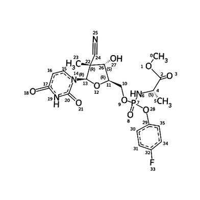 COC(=O)[C@H](C)NP(=O)(OC[C@H]1O[C@@H](n2ccc(=O)[nH]c2=O)[C@](C)(C#N)[C@@H]1O)Oc1ccc(F)cc1